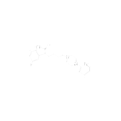 O=C1Nc2ccc(F)cc2C1CCCCN1CCN(c2ccccn2)CC1